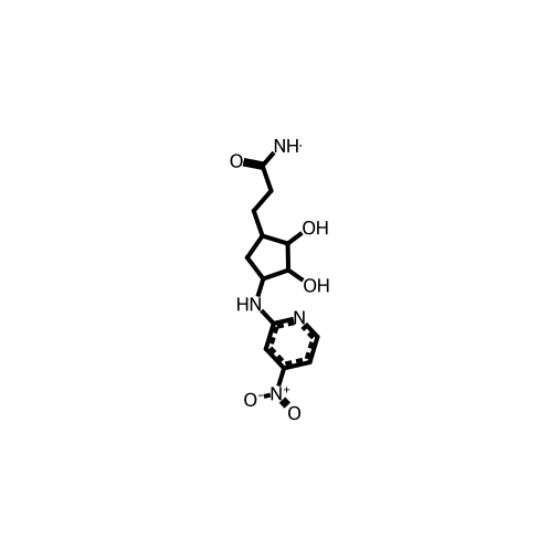 [NH]C(=O)CCC1CC(Nc2cc([N+](=O)[O-])ccn2)C(O)C1O